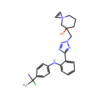 CC(F)(I)c1ccc(Nc2ccccc2-c2nnn(CC3(O)CCC[N+]4(C=C4)C3)n2)cc1